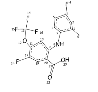 Cc1cc(F)ccc1Nc1cc(OC(F)(F)F)c(F)cc1C(=O)O